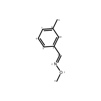 CON=Cc1[c]ccc(C)c1